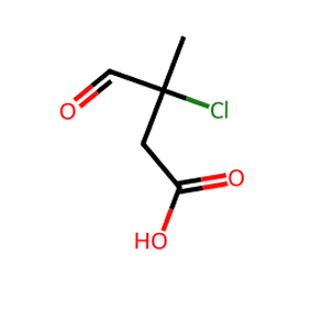 CC(Cl)(C=O)CC(=O)O